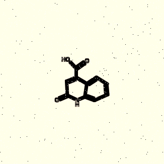 O=C(O)c1cc(=O)[nH]c2cc[c]cc12